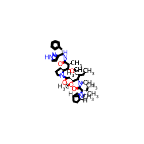 CC[C@H](C)[C@@H]([C@@H](CC(=O)N1CCC[C@H]1[C@H](OC)[C@@H](C)C(=O)N[C@@H](Cc1ccccc1)c1cc[nH]n1)OC)N(C)C(=O)[C@H](C(C)C)[N+]1(C)C[C@H]2CC[C@@H]1C2